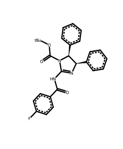 CC(C)(C)OC(=O)N1C(NC(=O)c2ccc(F)cc2)=N[C@H](c2ccccc2)[C@@H]1c1ccccc1